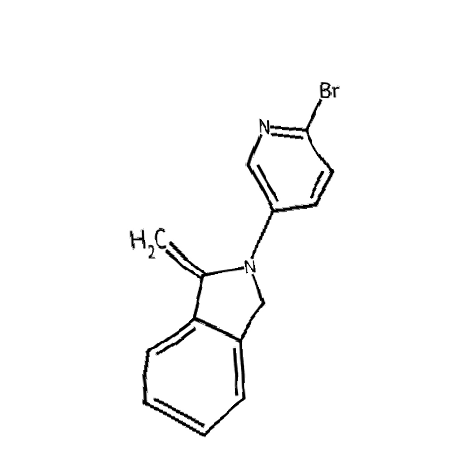 C=C1c2ccccc2CN1c1ccc(Br)nc1